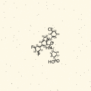 O=C(O)c1ccc(CNC(=O)c2cc(-c3cc(F)cc(F)c3)cc3ccn(Cc4cccc(Cl)c4)c23)cc1